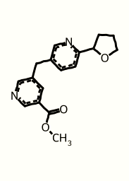 COC(=O)c1cncc(Cc2ccc(C3CCCO3)nc2)c1